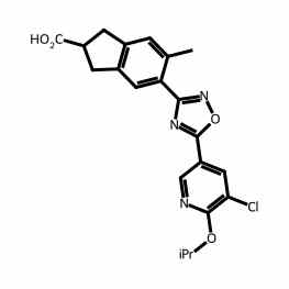 Cc1cc2c(cc1-c1noc(-c3cnc(OC(C)C)c(Cl)c3)n1)CC(C(=O)O)C2